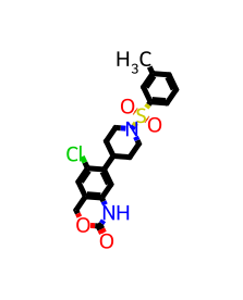 Cc1cccc(S(=O)(=O)N2CCC(c3cc4c(cc3Cl)COC(=O)N4)CC2)c1